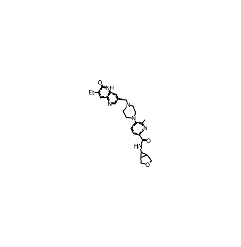 CCc1cc2ncc(CN3CCN(c4ccc(C(=O)NC5C6COCC65)nc4C)CC3)cc2[nH]c1=O